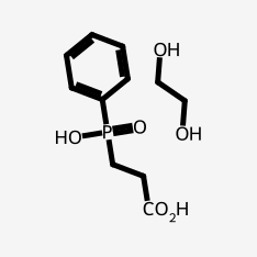 O=C(O)CCP(=O)(O)c1ccccc1.OCCO